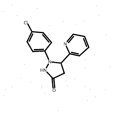 O=C1CC(c2ccccn2)N(c2ccc(Cl)cc2)N1